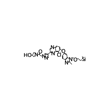 Cc1nc2ccc(Oc3ccc4ncc(-c5cnn(CC(=O)N6CC(O)C6)c5)nc4c3Cl)cc2n1COCC[Si](C)(C)C